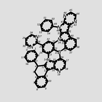 c1ccc(C2Cc3ccccc3-c3c2n2c4c(ccnc34)B3c4c-2cc(-c2ncccn2)cc4-n2c4c3cccc4c3c4nccnc4n(-c4ccccc4)c32)cc1